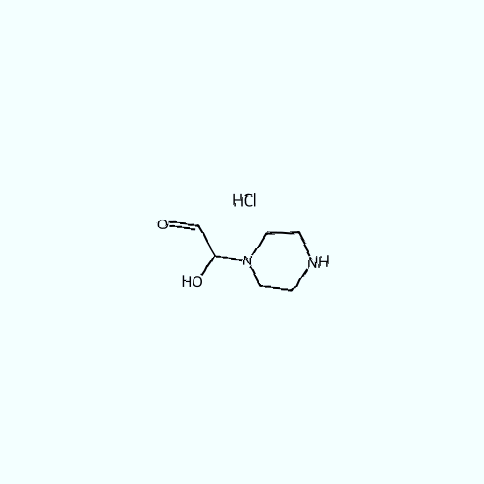 Cl.O=CC(O)N1CCNCC1